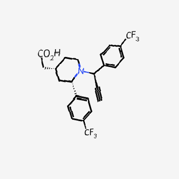 C#C[C@H](c1ccc(C(F)(F)F)cc1)N1CC[C@@H](CC(=O)O)C[C@H]1c1ccc(C(F)(F)F)cc1